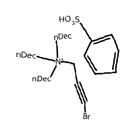 CCCCCCCCCC[N+](CC#CBr)(CCCCCCCCCC)CCCCCCCCCC.O=S(=O)(O)c1ccccc1